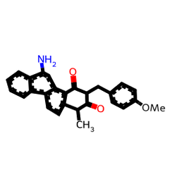 COc1ccc(CC2C(=O)c3c(ccc4c3cc(N)c3ccccc34)C(C)C2=O)cc1